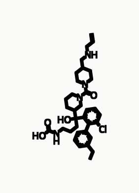 C=CCNCC1CCN(C(=O)N2CCCC(C(O)(CCCNC(=O)O)c3cccc(Cl)c3-c3cccc(CC)c3)C2)CC1